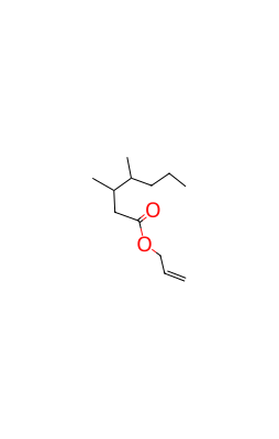 C=CCOC(=O)CC(C)C(C)CCC